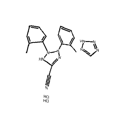 Cc1ccccc1N1N=C(C#N)NN1c1ccccc1C.Cl.Cl.c1nn[nH]n1